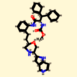 COC(=O)N[C@H](C(=O)Nc1ccccc1CC[C@@H]1CN[C@H](c2cc3cnccc3[nH]2)CO1)C(c1ccccc1)c1ccccc1